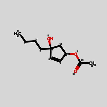 CCCC[C@@]1(O)C=C[C@H](OC(C)=O)C1